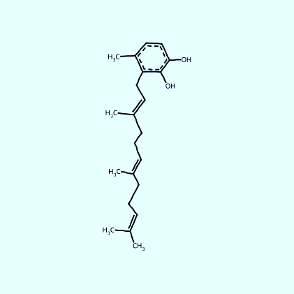 CC(C)=CCC/C(C)=C/CC/C(C)=C/Cc1c(C)ccc(O)c1O